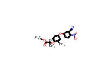 CCOC(=O)C(C)(C)Oc1ccc(Oc2ccc([N+](=O)[O-])c(C#N)c2)cc1C